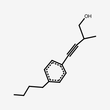 CCCCc1ccc(C#CC(C)CO)cc1